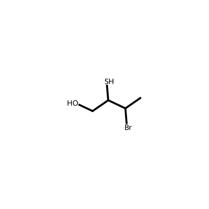 CC(Br)C(S)CO